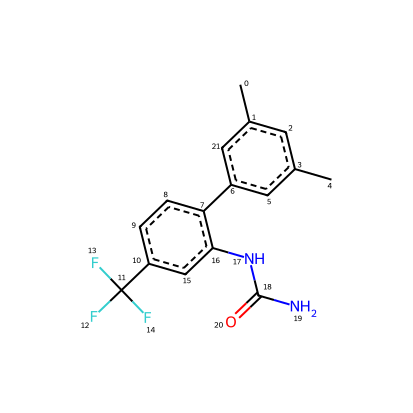 Cc1cc(C)cc(-c2ccc(C(F)(F)F)cc2NC(N)=O)c1